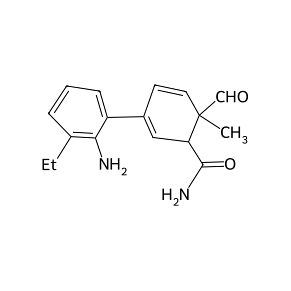 CCc1cccc(C2=CC(C(N)=O)C(C)(C=O)C=C2)c1N